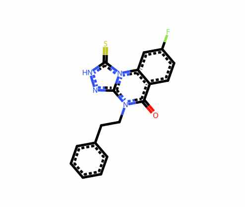 O=c1c2ccc(F)cc2n2c(=S)[nH]nc2n1CCc1ccccc1